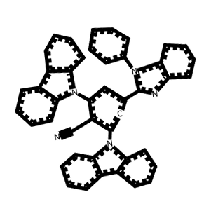 N#Cc1c(-n2c3ccccc3c3ccccc32)cc(-c2nc3ccccc3n2-c2ccccc2)cc1-n1c2ccccc2c2ccccc21